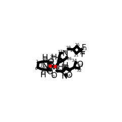 O=C(NC1C[C@H]2CC[C@@H](C1)N2S(=O)(=O)CC1[C@H]2CN(CC3CC(F)(F)C3)C[C@@H]12)c1cc(C2COC2)on1